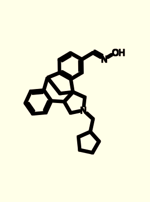 ON=Cc1ccc2c(c1)C13CC2c2ccccc2C1CN(CC1CCCC1)C3